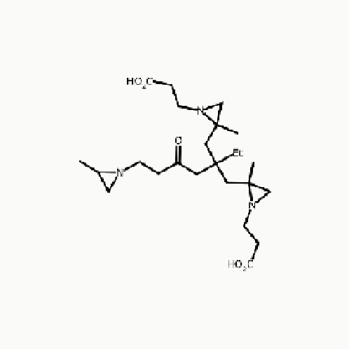 CCC(CC(=O)CCN1CC1C)(CC1(C)CN1CCC(=O)O)CC1(C)CN1CCC(=O)O